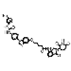 CC(C)(C)c1cc(NC(=O)Nc2ccc(-n3cnc4cc(OCCCCC(=O)Nc5cccc6c5CN(C5CCC(=O)NC5=O)C6=O)ccc43)cc2)no1